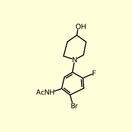 CC(=O)Nc1cc(N2CCC(O)CC2)c(F)cc1Br